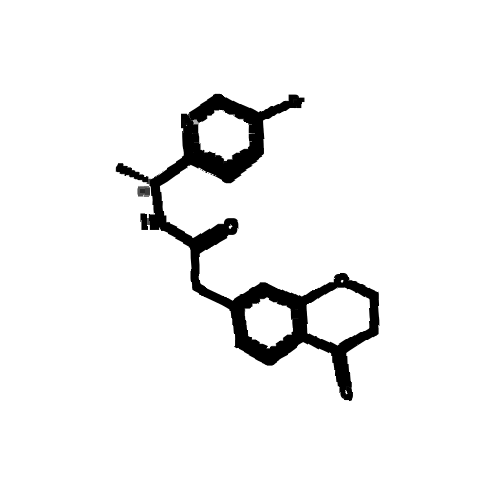 C[C@@H](NC(=O)Cc1ccc2c(c1)OCCC2=O)c1ccc(Br)cn1